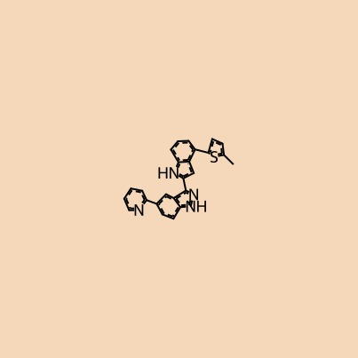 Cc1ccc(-c2cccc3[nH]c(-c4n[nH]c5ccc(-c6ccccn6)cc45)cc23)s1